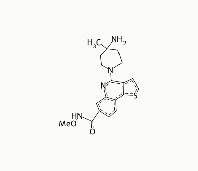 CONC(=O)c1ccc2c(c1)nc(N1CCC(C)(N)CC1)c1ccsc12